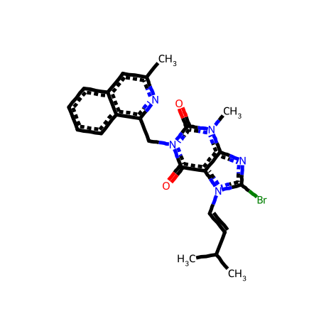 Cc1cc2ccccc2c(Cn2c(=O)c3c(nc(Br)n3C=CC(C)C)n(C)c2=O)n1